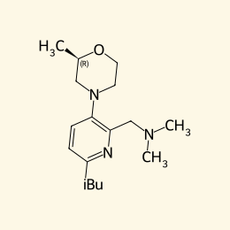 CCC(C)c1ccc(N2CCO[C@H](C)C2)c(CN(C)C)n1